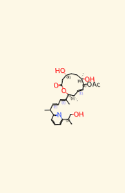 CC(=O)O[C@H]1/C=C/[C@H](C)[C@@H](/C(C)=C/C=C/C(C)c2cccc([C@H](C)CO)n2)OC(=O)C[C@H](O)CC[C@@]1(C)O